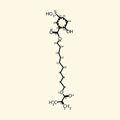 C=C(C)C(=O)OCCCCCCCCCCOC(=O)c1cc(S(=O)(=O)O)ccc1O